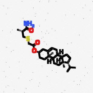 CC(C)[C@H]1CC[C@H]2[C@@H]3CC=C4C[C@@H](OC(=O)CSC[C@H](C)C(N)=O)CC[C@]4(C)[C@H]3CC[C@]12C